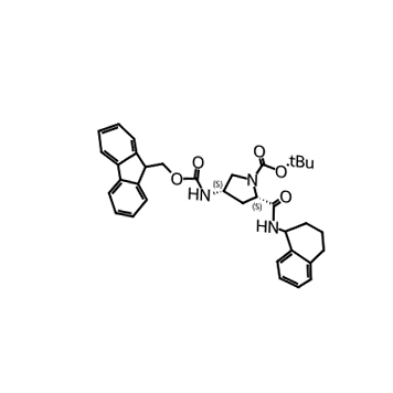 CC(C)(C)OC(=O)N1C[C@@H](NC(=O)OCC2c3ccccc3-c3ccccc32)C[C@H]1C(=O)NC1CCCc2ccccc21